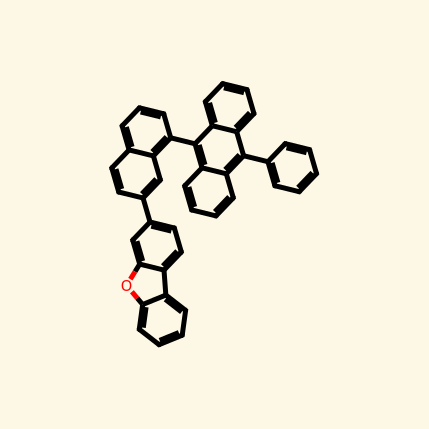 c1ccc(-c2c3ccccc3c(-c3cccc4ccc(-c5ccc6c(c5)oc5ccccc56)cc34)c3ccccc23)cc1